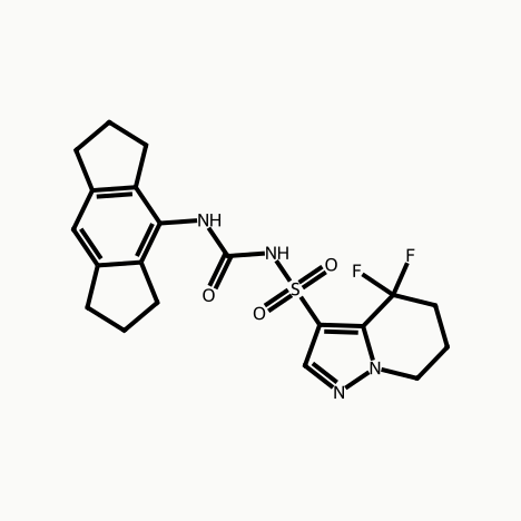 O=C(Nc1c2c(cc3c1CCC3)CCC2)NS(=O)(=O)c1cnn2c1C(F)(F)CCC2